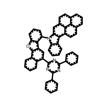 c1ccc(-c2nc(-c3ccccc3)nc(-c3cc4c(oc5cccc(-n6c7ccccc7c7c8ccc9cccc%10ccc(cc76)c8c%109)c54)c4ccccc34)n2)cc1